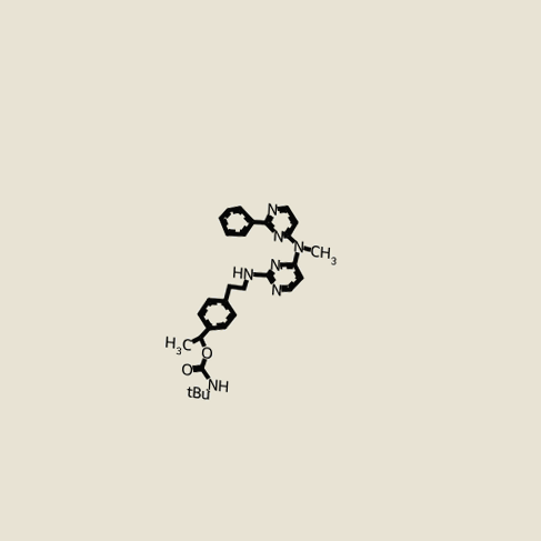 CC(OC(=O)NC(C)(C)C)c1ccc(CCNc2nccc(N(C)c3ccnc(-c4ccccc4)n3)n2)cc1